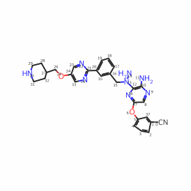 N#Cc1cccc(Oc2cnc(N)c(N(N)Cc3cccc(-c4ncc(OCC5CCNCC5)cn4)c3)n2)c1